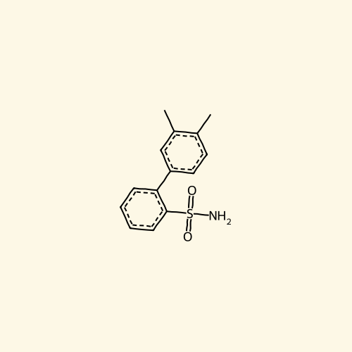 Cc1ccc(-c2ccccc2S(N)(=O)=O)cc1C